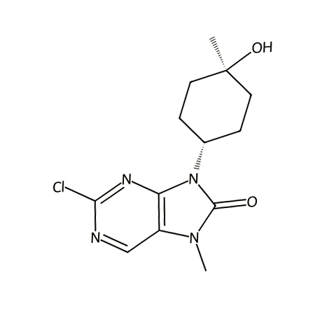 Cn1c(=O)n([C@H]2CC[C@](C)(O)CC2)c2nc(Cl)ncc21